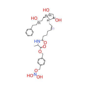 CC(NC(=O)CCC/C=C\C[C@@H]1[C@@H](CC[C@@H](O)CCc2ccccc2)[C@H](O)C[C@@H]1O)C(=O)OCc1ccc(CON(O)O)cc1